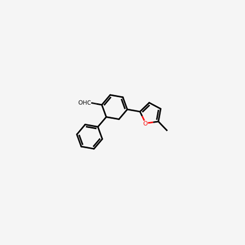 Cc1ccc(C2=CC=C(C=O)C(c3ccccc3)C2)o1